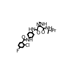 CC(C)[C@@H](C)NC(=O)c1[nH]cnc1C(=O)Nc1ccc(NC(=O)c2ccc(F)cc2Cl)cc1